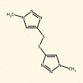 Cn1cc(SSc2cn(C)nn2)nn1